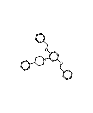 c1ccc(COc2ccc(OCc3ccccc3)c(N3CCC(c4ccccc4)CC3)c2)cc1